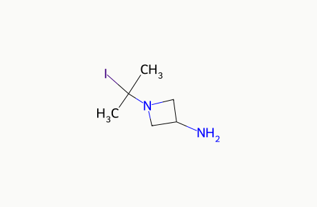 CC(C)(I)N1CC(N)C1